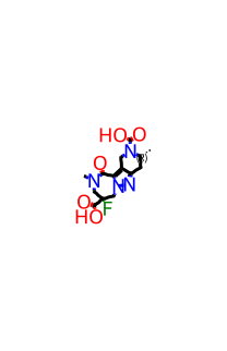 C[C@@H]1Cc2nn3c(c2CN1C(=O)O)C(=O)N(C)CC(F)(C(=O)O)C3